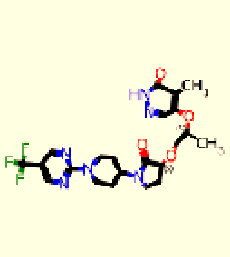 Cc1c(O[C@@H](C)CO[C@H]2CCN(C3CCN(c4ncc(C(F)(F)F)cn4)CC3)C2=O)cn[nH]c1=O